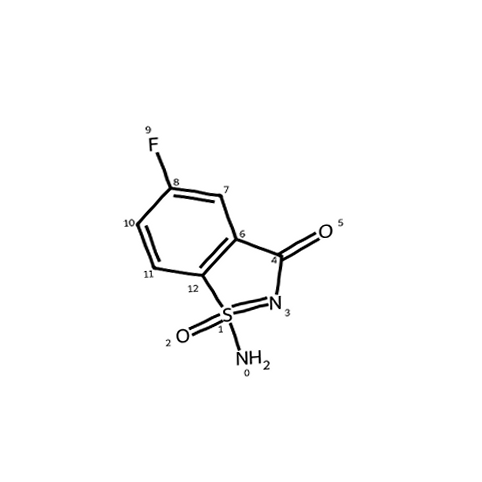 NS1(=O)=NC(=O)c2cc(F)ccc21